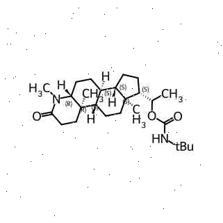 CC(OC(=O)NC(C)(C)C)[C@H]1CC[C@H]2[C@@H]3CC[C@H]4N(C)C(=O)CC[C@]4(C)[C@H]3CC[C@]12C